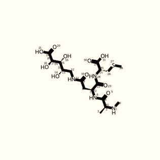 CN[C@@H](C)C(=O)N[C@@H](CC(=O)NC[C@H](O)[C@@H](O)[C@@H](O)C(=O)O)C(=O)N[C@@H](CSC)C(=O)O